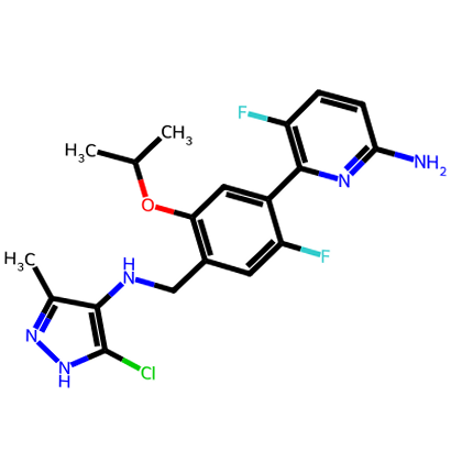 Cc1n[nH]c(Cl)c1NCc1cc(F)c(-c2nc(N)ccc2F)cc1OC(C)C